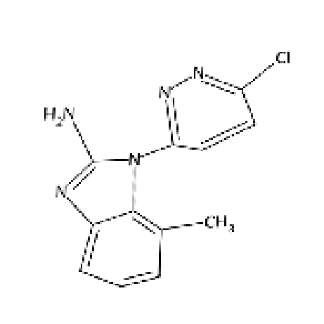 Cc1cccc2nc(N)n(-c3ccc(Cl)nn3)c12